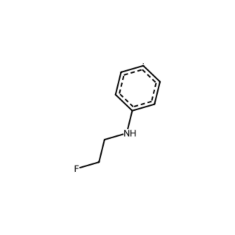 FCCNc1cc[c]cc1